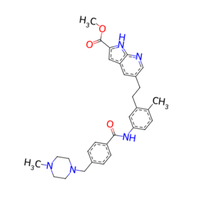 COC(=O)c1cc2cc(CCc3cc(NC(=O)c4ccc(CN5CCN(C)CC5)cc4)ccc3C)cnc2[nH]1